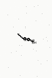 CCCCCCCc1ccc(-c2ccc(/C=C/C(=O)O)cc2)nc1